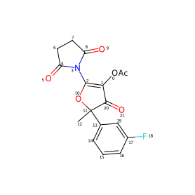 CC(=O)OC1=C(N2C(=O)CCC2=O)OC(C)(c2cccc(F)c2)C1=O